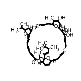 C/C(=C\[C@@H](C)[C@@H](C)O)[C@@H]1O[C@@H]2C=C[C@@H]1OC(=O)\C=C/C=C\C=C\[C@H]1OC(C(C)C)C[C@@H]1OC/C=C/CC1O[C@H](C[C@H](O)C1C)[C@H](O)[C@@H](O)/C=C/CC/C=C/C2